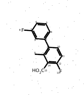 Cc1c(-c2cccc(F)c2)ccc(F)c1C(=O)O